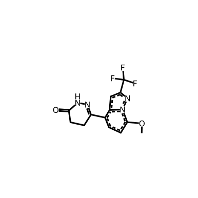 COc1ccc(C2=NNC(=O)CC2)c2cc(C(F)(F)F)nn12